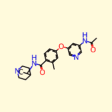 CC(=O)Nc1cncc(Oc2ccc(C(=O)NC3CN4CCC3CC4)c(C)c2)c1